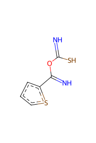 N=C(S)OC(=N)c1cccs1